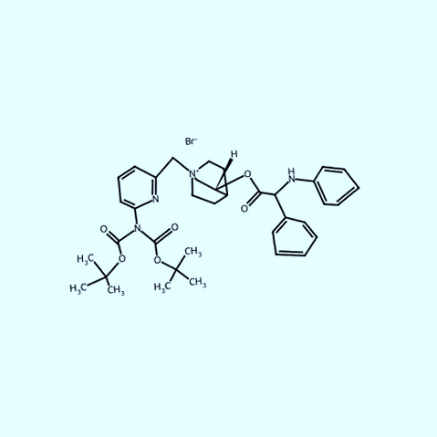 CC(C)(C)OC(=O)N(C(=O)OC(C)(C)C)c1cccc(C[N+]23CCC(CC2)[C@@H](OC(=O)C(Nc2ccccc2)c2ccccc2)C3)n1.[Br-]